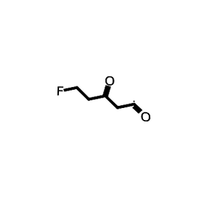 O=[C]CC(=O)CCF